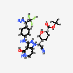 CC(C)(C)OC(=O)[C@@H]1CC[C@H](C(C#N)n2nc(Nc3ccc(C(N)C(F)(F)F)cc3)c3c(=O)[nH]ccc32)CO1